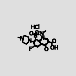 CN1CCN(c2c(F)cc3c(=O)c(C(=O)O)cn(N(C)C)c3c2[N+](=O)[O-])CC1.Cl